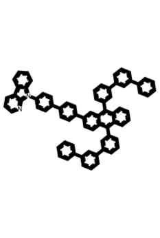 c1ccc(-c2cccc(-c3cccc(-c4c5ccccc5c(-c5cccc(-c6cccc(-c7ccccc7)c6)c5)c5cc(-c6ccc(-c7ccc(-n8c9ccccc9c9cccnc98)cc7)cc6)ccc45)c3)c2)cc1